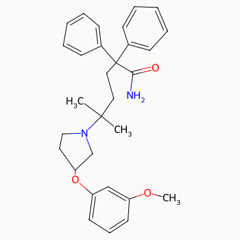 COc1cccc(OC2CCN(C(C)(C)CCC(C(N)=O)(c3ccccc3)c3ccccc3)C2)c1